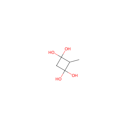 CC1C(O)(O)CC1(O)O